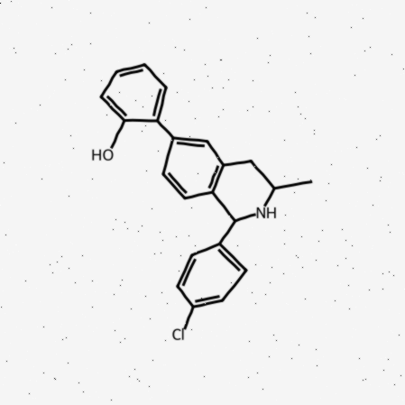 CC1Cc2cc(-c3ccccc3O)ccc2C(c2ccc(Cl)cc2)N1